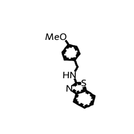 COc1ccc(CNc2nc3ccccc3s2)cc1